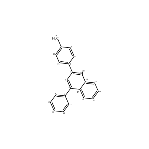 Cc1ccc(-c2cc(-c3ccccc3)c3ccccc3n2)cc1